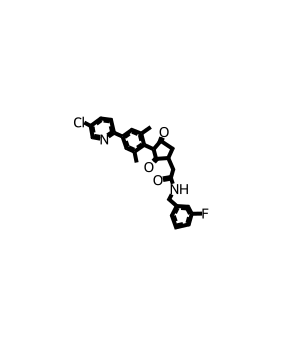 Cc1cc(-c2ccc(Cl)cn2)cc(C)c1C1C(=O)CC(CC(=O)NCc2cccc(F)c2)C1=O